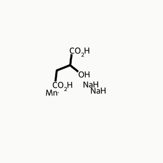 O=C(O)CC(O)C(=O)O.[Mn].[NaH].[NaH]